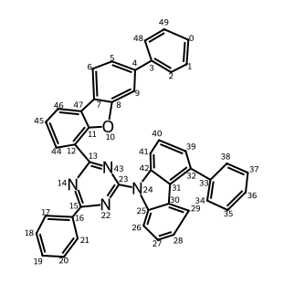 c1ccc(-c2ccc3c(c2)oc2c(-c4nc(-c5ccccc5)nc(-n5c6ccccc6c6c(-c7ccccc7)cccc65)n4)cccc23)cc1